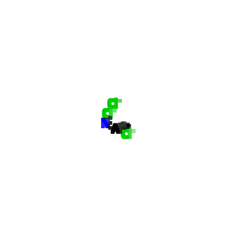 [Al+3].[Cl-].[Cl-].[Cl-].[N]